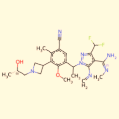 C=Nc1c(/C(N)=N\C)c(C(F)F)nn1C(C)c1cc(C#N)c(C)c(C2CN(C[C@H](C)O)C2)c1OC